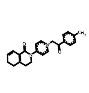 Cc1ccc(C(=O)C[n+]2ccc(N3CCC4=C(C=CCC4)C3=O)cc2)cc1